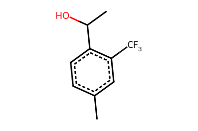 Cc1ccc(C(C)O)c(C(F)(F)F)c1